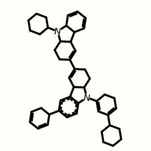 C1=CCC(c2ccc3c(c2)C2C=C(C4=CC5C6C=CC=CC6N(C6CCCCC6)C5CC4)CCC2N3C2=CC(C3CCCCC3)=CCC2)C=C1